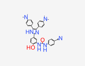 CN(C)c1ccc(-c2nc(-c3ccc(O)c(NC(=O)Nc4ccc(C#N)cc4)c3)[nH]c2-c2ccc(N(C)C)cc2)cc1